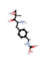 C[C@]1(C(=O)[C@@H](N)Cc2ccc(CNC(=O)O)cc2)CO1